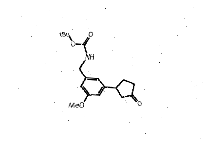 COc1cc(CNC(=O)OC(C)(C)C)cc(C2CCC(=O)C2)c1